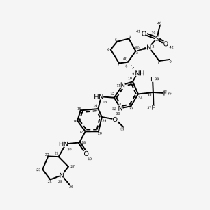 CCN([C@@H]1CCCC[C@H]1Nc1nc(Nc2ccc(C(=O)NC3CCCN(C)C3)cc2OC)ncc1C(F)(F)F)S(C)(=O)=O